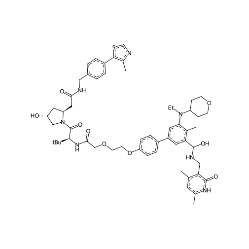 CCN(c1cc(-c2ccc(OCCOCC(=O)N[C@H](C(=O)N3C[C@H](O)C[C@H]3CC(=O)NCc3ccc(-c4scnc4C)cc3)C(C)(C)C)cc2)cc(C(O)NCc2c(C)cc(C)[nH]c2=O)c1C)C1CCOCC1